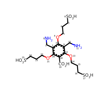 NCc1c(OCCCS(=O)(=O)O)c(CN)c(OCCCS(=O)(=O)O)c(C(=O)O)c1OCCCS(=O)(=O)O